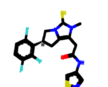 CN1C(CC(=O)Nc2cnsc2)=C2C[C@H](c3c(F)ccc(F)c3F)CN2C1S